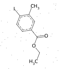 CCOC(=O)c1ccc(I)c(C)c1